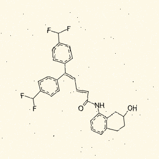 O=C(C=CC=C(c1ccc(C(F)F)cc1)c1ccc(C(F)F)cc1)Nc1cccc2c1CC(O)CC2